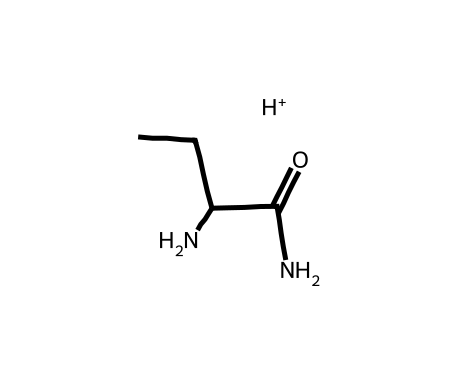 CCC(N)C(N)=O.[H+]